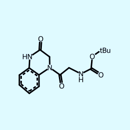 CC(C)(C)OC(=O)NCC(=O)N1CC(=O)Nc2ccccc21